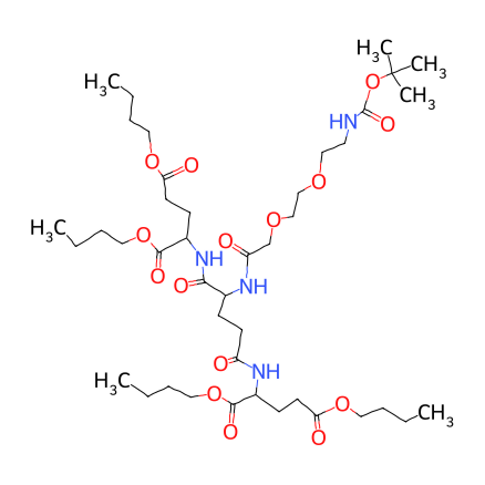 CCCCOC(=O)CCC(NC(=O)CCC(NC(=O)COCCOCCNC(=O)OC(C)(C)C)C(=O)NC(CCC(=O)OCCCC)C(=O)OCCCC)C(=O)OCCCC